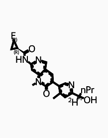 [2H][C@@](O)(CCC)c1cc(C)c(-c2cc3cnc(NC(=O)[C@H]4C[C@H]4F)cc3n(C)c2=O)cn1